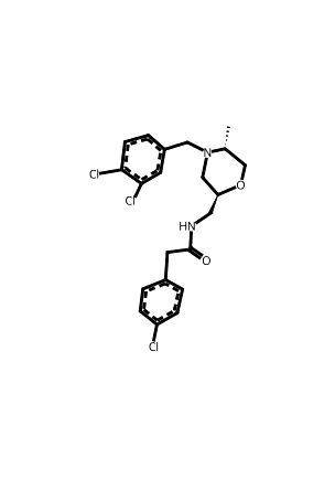 C[C@@H]1CO[C@@H](CNC(=O)Cc2ccc(Cl)cc2)CN1Cc1ccc(Cl)c(Cl)c1